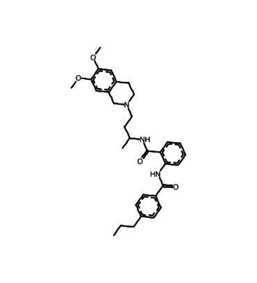 CCCc1ccc(C(=O)Nc2ccccc2C(=O)NC(C)CCN2CCc3cc(OC)c(OC)cc3C2)cc1